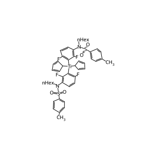 CCCCCCN(c1ccc(F)[c]([Ti]([c]2c(F)ccc(N(CCCCCC)S(=O)(=O)c3ccc(C)cc3)c2F)([CH]2C=CC=C2)[CH]2C=CC=C2)c1F)S(=O)(=O)c1ccc(C)cc1